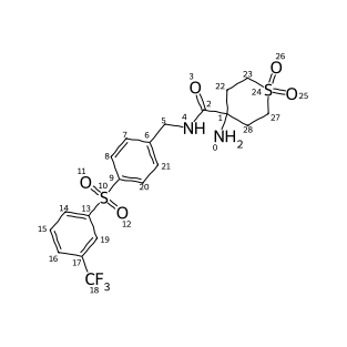 NC1(C(=O)NCc2ccc(S(=O)(=O)c3cccc(C(F)(F)F)c3)cc2)CCS(=O)(=O)CC1